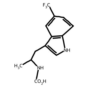 CC(Cc1c[nH]c2ccc(C(F)(F)F)cc12)NC(=O)O